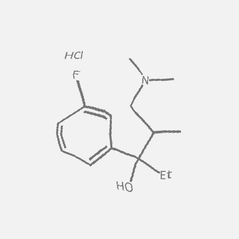 CCC(O)(c1cccc(F)c1)C(C)CN(C)C.Cl